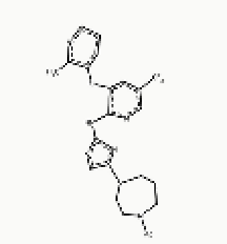 CC(=O)N1CCCC(c2csc(Nc3ncc(C(F)(F)F)cc3Oc3cccnc3C)n2)CC1